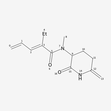 C=C/C=C(\CC)C(=O)N(C)C1CCC(=C)NC1=O